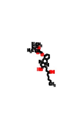 CCCCC[C@@H](O)CCC1[C@H](O)C[C@@H]2Cc3c(cccc3OCC(=O)O[C@H](C)C(C)(C)C)C[C@H]12